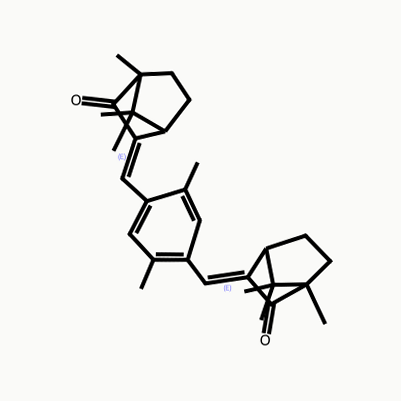 Cc1cc(/C=C2/C(=O)C3(C)CCC2C3(C)C)c(C)cc1/C=C1/C(=O)C2(C)CCC1C2(C)C